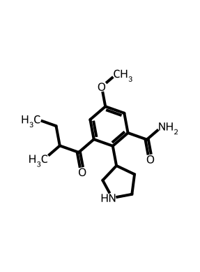 CCC(C)C(=O)c1cc(OC)cc(C(N)=O)c1C1CCNC1